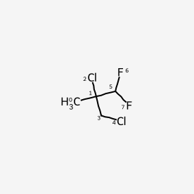 CC(Cl)(CCl)C(F)F